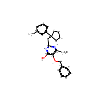 Cc1cccc(C2(Cc3nc(O)c(OCc4ccccc4)c(C(=O)O)n3)CCCC2)c1